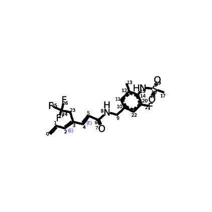 C=C/C=C(/C=C/C(=O)NCc1cc(C)c(NS(C)(=O)=O)c(F)c1)CC(F)(F)F